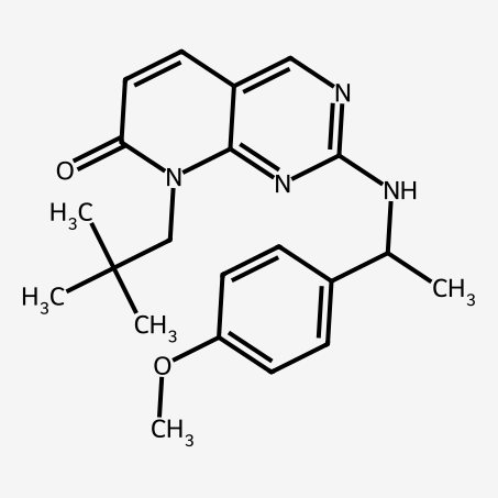 COc1ccc(C(C)Nc2ncc3ccc(=O)n(CC(C)(C)C)c3n2)cc1